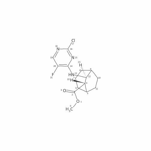 COC(=O)[C@H]1C2CCCC(CC2)[C@@H]1Nc1nc(Cl)ncc1F